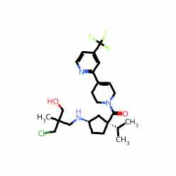 CC(C)[C@]1(C(=O)N2CC=C(c3cc(C(F)(F)F)ccn3)CC2)CC[C@@H](NCC(C)(CO)CCl)C1